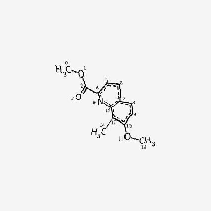 COC(=O)c1ccc2ccc(OC)c(C)c2n1